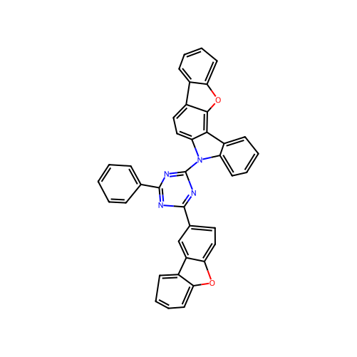 c1ccc(-c2nc(-c3ccc4oc5ccccc5c4c3)nc(-n3c4ccccc4c4c5oc6ccccc6c5ccc43)n2)cc1